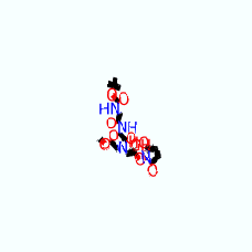 COC(=O)CN(C[C@@H](O)ON1C(=O)CC[C@@H]1O)C(=O)CNC(=O)CNC(=O)OC(C)(C)C